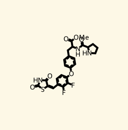 COC(=O)C(Cc1ccc(Oc2ccc(C=C3SC(=O)NC3=O)c(F)c2F)cc1)NC(=O)C1CCCN1